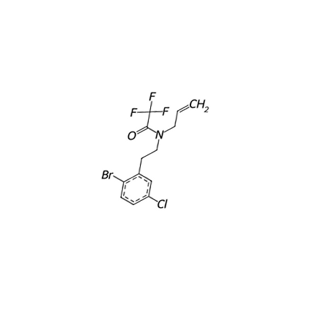 C=CCN(CCc1cc(Cl)ccc1Br)C(=O)C(F)(F)F